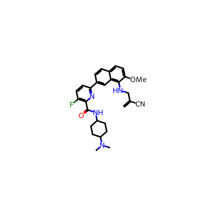 C=C(C#N)CNc1c(OC)ccc2ccc(-c3ccc(F)c(C(=O)NC4CCC(N(C)C)CC4)n3)cc12